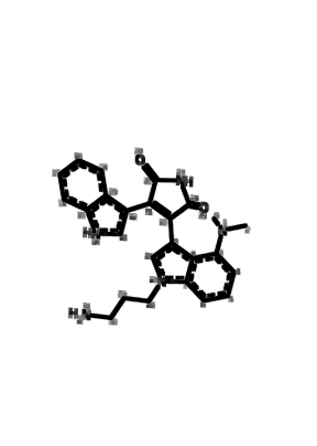 CN(C)c1cccc2c1c(C1=C(c3c[nH]c4ccccc34)C(=O)NC1=O)cn2CCCN